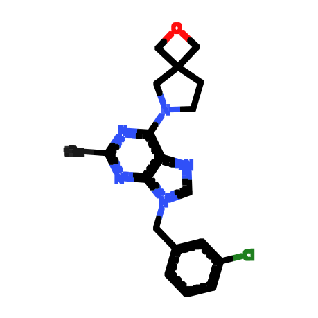 CC(C)(C)c1nc(N2CCC3(COC3)C2)c2ncn(Cc3cccc(Cl)c3)c2n1